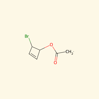 [CH2]C(=O)OC1C=CC1Br